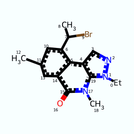 CCn1ncc2c3c(C(C)Br)cc(C)cc3c(=O)n(C)c21